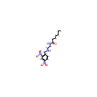 CCCCCCC(=O)NCCNCc1ccc([N+](=O)[O-])cc1[N+](=O)[O-]